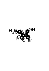 COc1ccc2[nH]c3c(c4c(c5c6cc(Br)ccc6n(C6C=C[C@@H](O)C6)c35)C(=O)NC4=O)c2c1